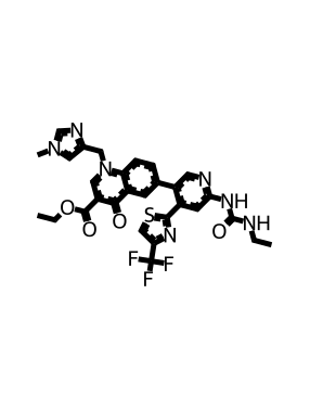 CCNC(=O)Nc1cc(-c2nc(C(F)(F)F)cs2)c(-c2ccc3c(c2)c(=O)c(C(=O)OCC)cn3Cc2cn(C)cn2)cn1